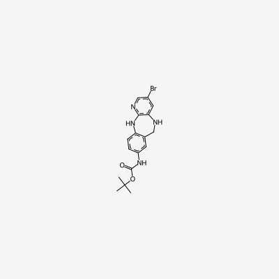 CC(C)(C)OC(=O)Nc1ccc2c(c1)CNc1cc(Br)cnc1N2